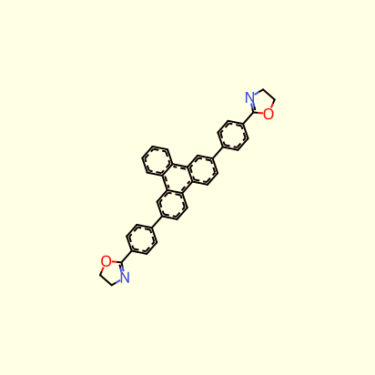 c1ccc2c(c1)c1cc(-c3ccc(C4=NCCO4)cc3)ccc1c1ccc(-c3ccc(C4=NCCO4)cc3)cc21